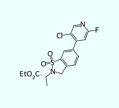 CCOC(=O)[C@@H](C)N1Cc2ccc(-c3cc(F)ncc3Cl)cc2S1(=O)=O